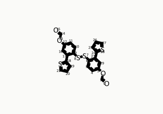 O=COc1ccc(SSc2ccc(OC=O)cc2-c2cccs2)c(-c2cccs2)c1